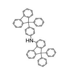 c1ccc(C2(c3ccc(Nc4cccc5c4-c4ccccc4C5(c4ccccc4)c4ccccc4)cc3)c3ccccc3-c3ccccc32)cc1